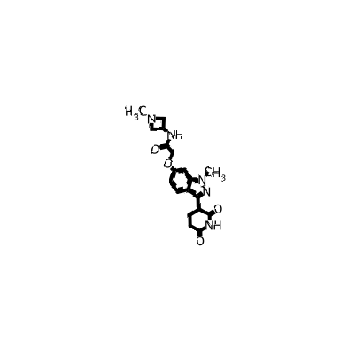 CN1CC(NC(=O)COc2ccc3c(C4CCC(=O)NC4=O)nn(C)c3c2)C1